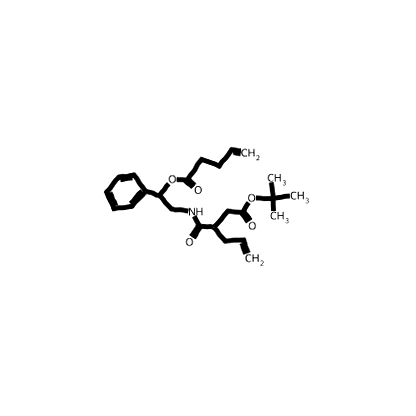 C=CCCC(=O)OC(CNC(=O)C(CC=C)CC(=O)OC(C)(C)C)c1ccccc1